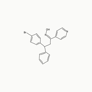 ON=C(CC(c1ccccc1)c1ccc(Br)cc1)c1ccncc1